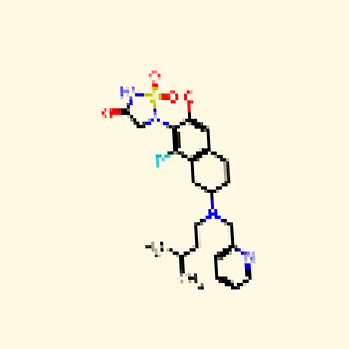 CC(C)CCN(Cc1ccccn1)C1CCc2cc(O)c(N3CC(=O)NS3(=O)=O)c(F)c2C1